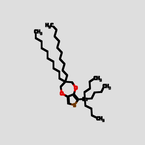 CCCCCCCCCCC1(CCCCCCCCCC)COc2cs[c]([Sn]([CH2]CCC)([CH2]CCC)[CH2]CCC)c2OC1